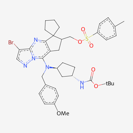 COc1ccc(CN(c2c3c(nc4c(Br)cnn24)C2(CCCC2)C(COS(=O)(=O)c2ccc(C)cc2)C3)[C@H]2CC[C@H](NC(=O)OC(C)(C)C)C2)cc1